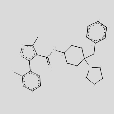 Cc1onc(-c2ccccc2Cl)c1C(=O)NC1CCC(Cc2ccccc2)(N2CCCC2)CC1